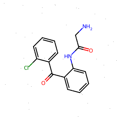 NCC(=O)Nc1ccccc1C(=O)c1ccccc1Cl